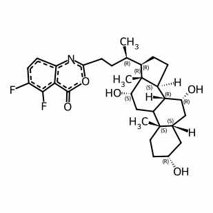 C[C@H](CCc1nc2ccc(F)c(F)c2c(=O)o1)[C@H]1CC[C@H]2[C@H]3C(C[C@H](O)[C@]12C)[C@@]1(C)CC[C@@H](O)C[C@H]1C[C@H]3O